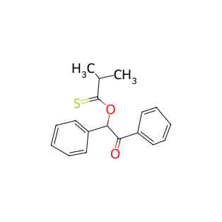 CC(C)C(=S)OC(C(=O)c1ccccc1)c1ccccc1